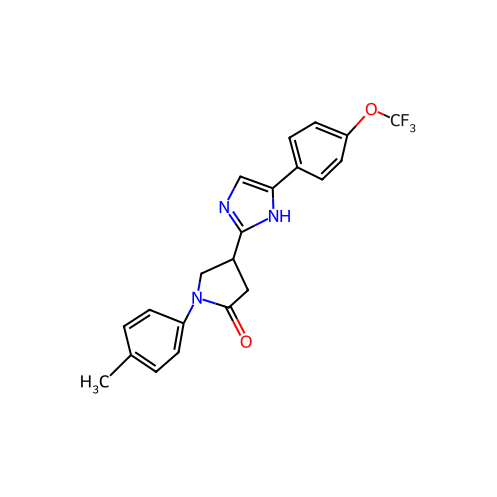 Cc1ccc(N2CC(c3ncc(-c4ccc(OC(F)(F)F)cc4)[nH]3)CC2=O)cc1